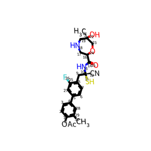 CC(=O)Oc1ccc(-c2ccc(C[C@](S)(C#N)NC(=O)C3CNC[C@@](C)(O)CO3)c(F)c2)cc1C